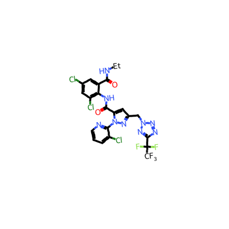 CCNC(=O)c1cc(Cl)cc(Cl)c1NC(=O)c1cc(Cn2nnc(C(F)(F)C(F)(F)F)n2)nn1-c1ncccc1Cl